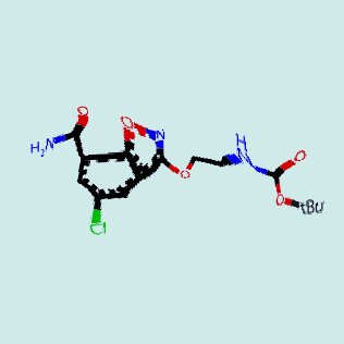 CC(C)(C)OC(=O)NCCOc1noc2c(C(N)=O)cc(Cl)cc12